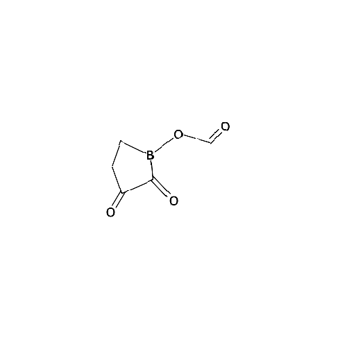 O=COB1CCC(=O)C1=O